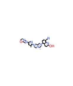 Cc1cc(N2CC3OCCN3C2)cnc1N1CCN2C(C1)CN(c1ccc(C#N)c3nc(O)ccc13)C[C@@H]2C